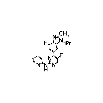 Cc1nc2c(F)cc(-c3nc(Nc4ccc[c]n4)ncc3F)cc2n1C(C)C